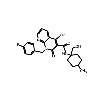 CC1CCC(CO)(NC(=O)c2c(O)c3cccnc3n(Cc3ccc(F)cc3)c2=O)CC1